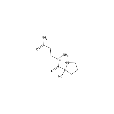 N#C[N+]1(C(=O)[C@@H](N)CCC(N)=O)CCCN1